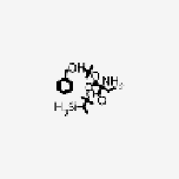 CCC(N)(C(=O)OC(C)(C)C)C(=O)OC(C)(C)C(C)[SiH3].OCc1ccccc1